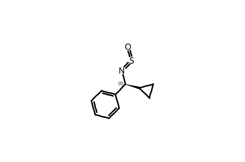 O=S=N[C@H](c1ccccc1)C1CC1